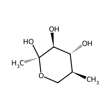 C[C@H]1CO[C@@](C)(O)[C@@H](O)[C@@H]1O